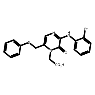 CCc1ccccc1Nc1ncc(CSc2ccccc2)n(CC(=O)O)c1=O